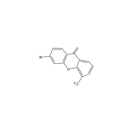 C=C1c2ccc(Br)cc2Oc2c1cccc2C(F)(F)F